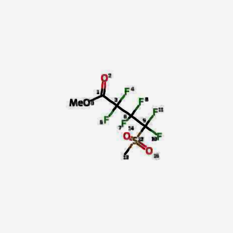 COC(=O)C(F)(F)C(F)(F)C(F)(F)S(C)(=O)=O